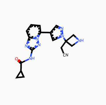 N#CCC1(n2cc(-c3cccc4nc(NC(=O)C5CC5)nn34)cn2)CNC1